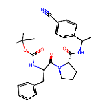 CC(NC(=O)[C@@H]1CCCN1C(=O)[C@@H](Cc1ccccc1)NC(=O)OC(C)(C)C)c1ccc(C#N)cc1